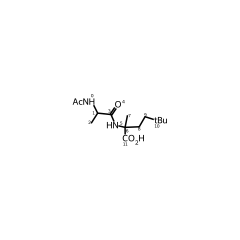 CC(=O)NC(C)C(=O)NC(C)(CCC(C)(C)C)C(=O)O